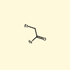 [2H]C(=O)CCC